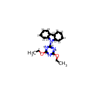 CCOc1nc(OCC)nc(-n2c3ccccc3c3ccccc32)n1